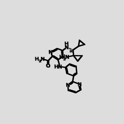 NC(=O)c1ncc(N[C@H](C2CC2)C2(N)CC2)nc1Nc1cccc(-c2ncccn2)c1